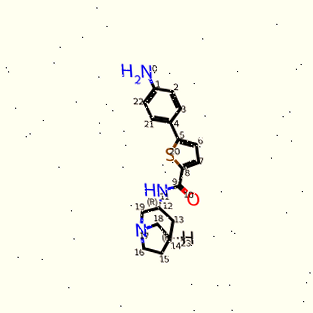 Nc1ccc(-c2ccc(C(=O)N[C@@H]3C[C@H]4CCN(C4)C3)s2)cc1